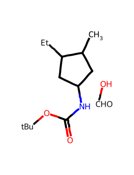 CCC1CC(NC(=O)OC(C)(C)C)CC1C.O=CO